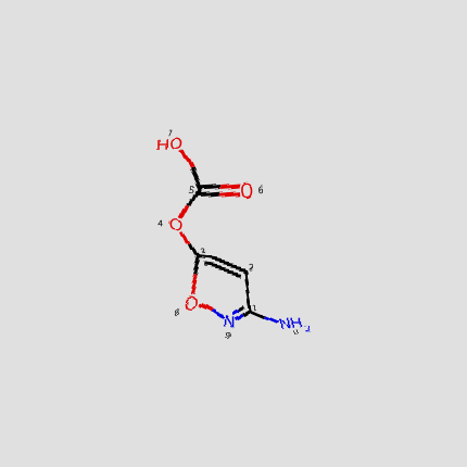 Nc1cc(OC(=O)O)on1